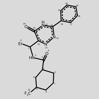 CCC(NC(=O)C1CCCC(C(F)(F)F)C1)c1nnc(-c2ccccc2)[nH]c1=O